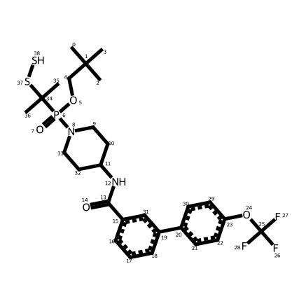 CC(C)(C)COP(=O)(N1CCC(NC(=O)c2cccc(-c3ccc(OC(F)(F)F)cc3)c2)CC1)C(C)(C)SS